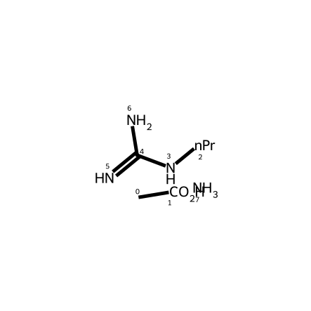 CC(=O)O.CCCNC(=N)N.N